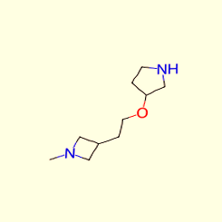 CN1CC(CCOC2CCNC2)C1